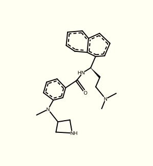 CN(C)CC[C@@H](NC(=O)c1cccc(N(C)C2CNC2)c1)c1cccc2ccccc12